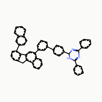 c1ccc(C2=NC(c3ccc(-c4cccc(-c5cc6c(c7ccccc57)Cc5cccc(-c7ccc8ccccc8c7)c5-6)c4)cc3)NC(c3ccccc3)=N2)cc1